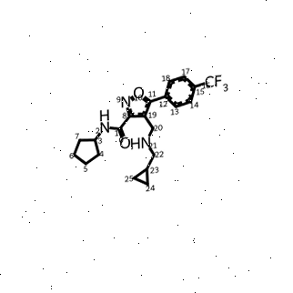 O=C(NC1CCCC1)c1noc(-c2ccc(C(F)(F)F)cc2)c1CNCC1CC1